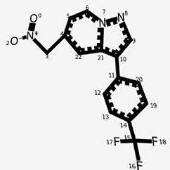 O=[N+]([O-])Cc1ccn2ncc(-c3ccc(C(F)(F)F)cc3)c2c1